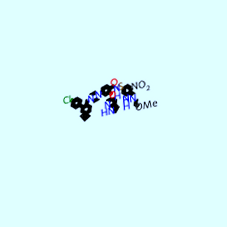 COCCN/C=C1\C(=N)C=C(SNC(=O)c2ccc(N3CCN(CC4=C(c5ccc(Cl)cc5)CC5(CCC5)CC4)CC3)cc2Oc2cnc3[nH]ccc3c2)C=C1[N+](=O)[O-]